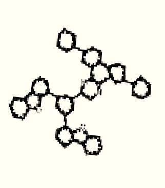 c1ccc(-c2ccc3c4ccc(-c5ccccc5)cc4c4nc(-c5cc(-c6cccc7c6oc6ccccc67)cc(-c6cccc7c6oc6ccccc67)c5)cnc4c3c2)cc1